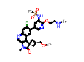 CC(C)NCCOc1ncc(-c2cc3c(cc2F)ncc2c3[C@]3(C[C@H](COC(C)C)C3)C(=O)N2C)cc1NS(=O)(=O)C(C)C